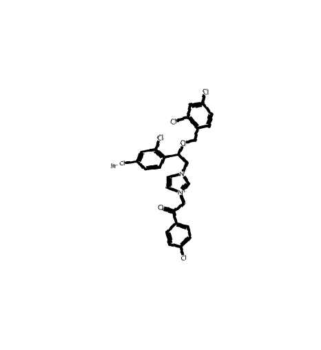 O=C(C[n+]1ccn(CC(OCc2ccc(Cl)cc2Cl)c2ccc(Cl)cc2Cl)c1)c1ccc(Cl)cc1.[Br-]